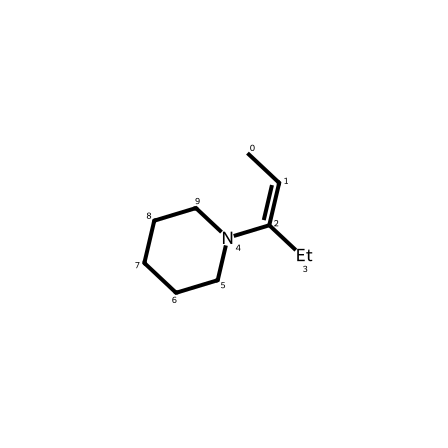 C/C=C(/CC)N1CCCCC1